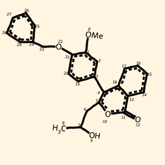 COc1cc(-c2c(CC(C)O)oc(=O)c3ccccc23)ccc1OCc1ccccc1